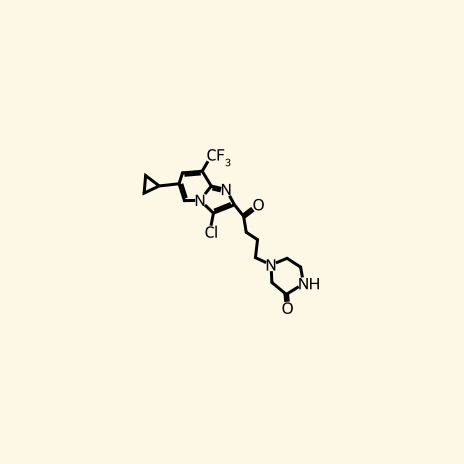 O=C1CN(CCCC(=O)c2nc3c(C(F)(F)F)cc(C4CC4)cn3c2Cl)CCN1